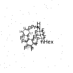 CCCCCCC(F)(F)C(F)(F)C(F)(F)NCCC.Fc1ccccc1-c1c(F)c(F)c(F)c(F)c1F